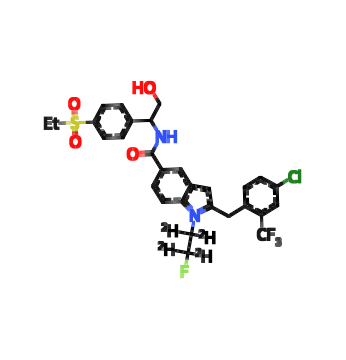 [2H]C([2H])(F)C([2H])([2H])n1c(Cc2ccc(Cl)cc2C(F)(F)F)cc2cc(C(=O)NC(CO)c3ccc(S(=O)(=O)CC)cc3)ccc21